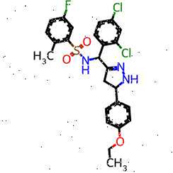 CCOc1ccc(C2CC(C(NS(=O)(=O)c3cc(F)ccc3C)c3ccc(Cl)cc3Cl)=NN2)cc1